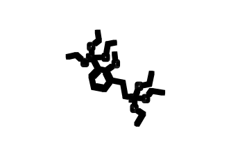 CCO[Si](CCc1cccc([Si](OCC)(OCC)OCC)c1OC)(OCC)OCC